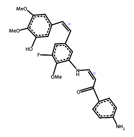 COc1cc(/C=C\c2cc(F)c(OC)c(N/C=C\C(=O)c3ccc(N)cc3)c2)cc(O)c1OC